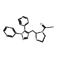 CC(C)C(=O)N1CCSC1Cc1cnn(-c2ccccc2)c1-c1ccccc1